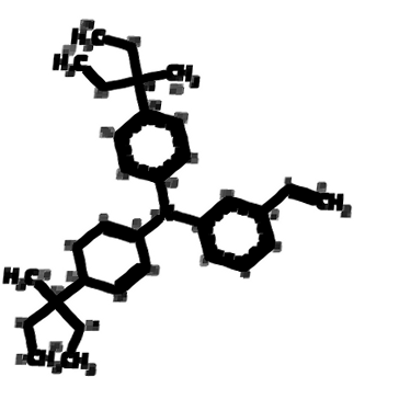 C=Cc1cccc(N(C2=CCC(C(C)(CC)CC)C=C2)c2ccc(C(C)(CC)CC)cc2)c1